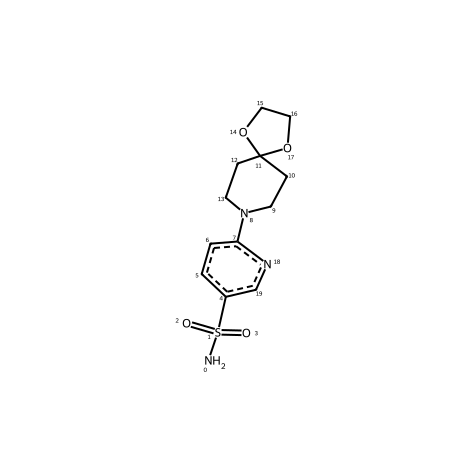 NS(=O)(=O)c1ccc(N2CCC3(CC2)OCCO3)nc1